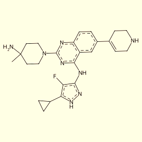 CC1(N)CCN(c2nc(Nc3n[nH]c(C4CC4)c3F)c3cc(C4=CCNCC4)ccc3n2)CC1